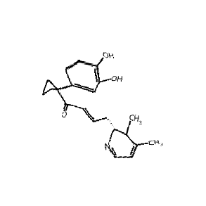 CC1=CC=N[C@H](C/C=C/C(=O)C2(C3=CC(O)=C(O)CC3)CC2)C1C